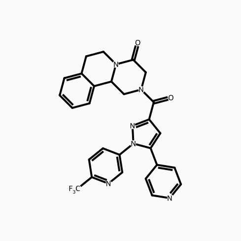 O=C(c1cc(-c2ccncc2)n(-c2ccc(C(F)(F)F)nc2)n1)N1CC(=O)N2CCc3ccccc3C2C1